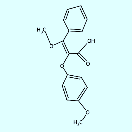 COC(=C(Oc1ccc(OC)cc1)C(=O)O)c1ccccc1